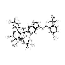 COC1(Cl)C(C)=CN=C(C(NC(=O)OC(C)(C)C)(NC(=O)OC(C)(C)C)c2ncc3c(CCc4cc(C)ccc4S(=O)(=O)O)n[nH]c3n2)C1C